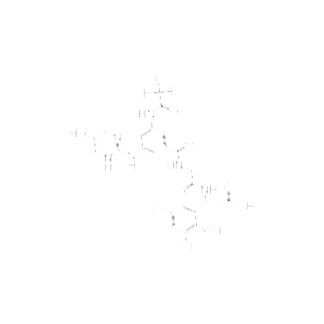 O=C(O)C[C@@H](NC(=O)CNC(=O)c1cc(NC(=O)C(F)(F)F)cc(NC2=NCC(O)CN2)c1)c1cc(Cl)cc(Cl)c1O